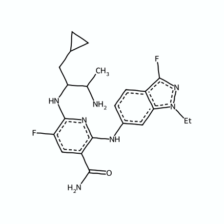 CCn1nc(F)c2ccc(Nc3nc(NC(CC4CC4)C(C)N)c(F)cc3C(N)=O)cc21